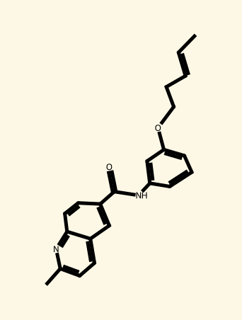 CC=CCCOc1cccc(NC(=O)c2ccc3nc(C)ccc3c2)c1